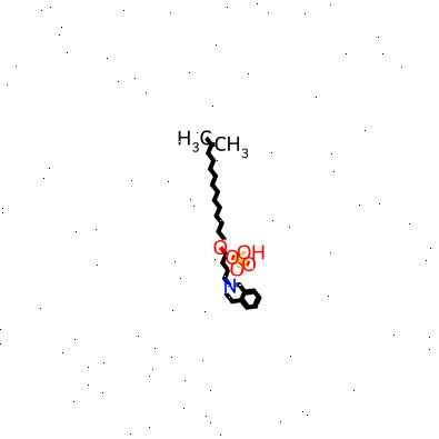 CC(C)CCCCCCCCCCCCOCCC(CN1CCc2ccccc2C1)OS(=O)(=O)O